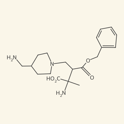 CC(N)(C(=O)O)C(CN1CCC(CN)CC1)C(=O)OCc1ccccc1